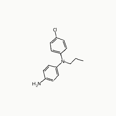 CCCN(c1ccc(N)cc1)c1ccc(Cl)cc1